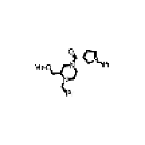 COC[C@H]1CN(C(=O)[C@@H]2CCN(C(C)C)C2)CCN1CC(C)C